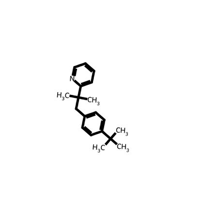 CC(C)(C)c1ccc(CC(C)(C)c2ccccn2)cc1